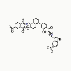 O=C(N/N=C/c1c[nH]c2ccc([N+](=O)[O-])cc12)c1ccc(-c2cccc3c(/C=N/Nc4ccc([N+](=O)[O-])cc4[N+](=O)[O-])c(O)ccc23)cc1O